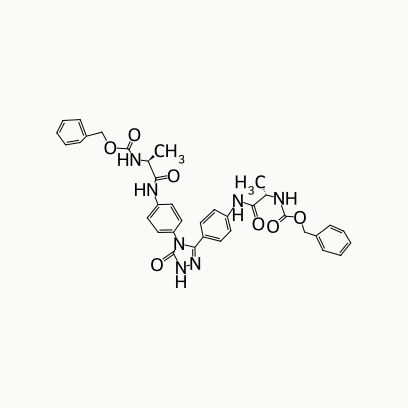 C[C@H](NC(=O)OCc1ccccc1)C(=O)Nc1ccc(-c2n[nH]c(=O)n2-c2ccc(NC(=O)[C@H](C)NC(=O)OCc3ccccc3)cc2)cc1